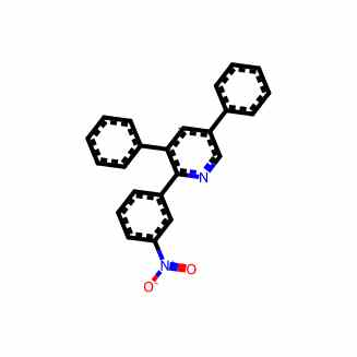 O=[N+]([O-])c1cccc(-c2ncc(-c3ccccc3)[c]c2-c2ccccc2)c1